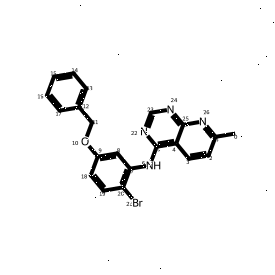 Cc1ccc2c(Nc3cc(OCc4ccccc4)ccc3Br)ncnc2n1